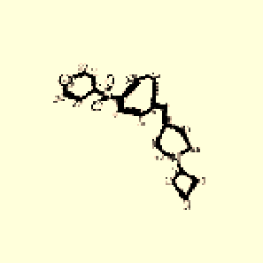 O=S(=O)(c1ccc(C=C2CCN(C3CCC3)CC2)cc1)C1CCOCC1